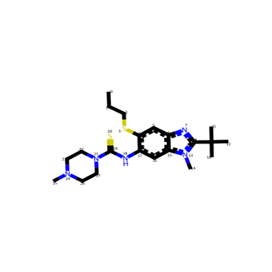 CCCSc1cc2nc(C(C)(C)C)n(C)c2cc1NC(=S)N1CCN(C)CC1